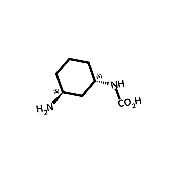 N[C@H]1CCC[C@H](NC(=O)O)C1